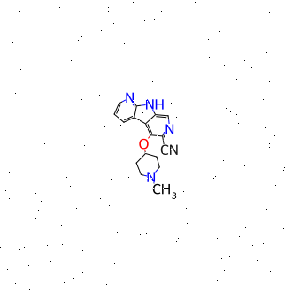 CN1CCC(Oc2c(C#N)ncc3[nH]c4ncccc4c23)CC1